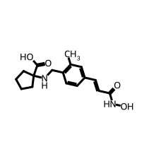 Cc1cc(C=CC(=O)NO)ccc1CNC1(C(=O)O)CCCC1